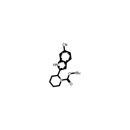 CC(C)(C)OC(=O)N1CCCCC1c1cc2ccc(C#N)cc2[nH]1